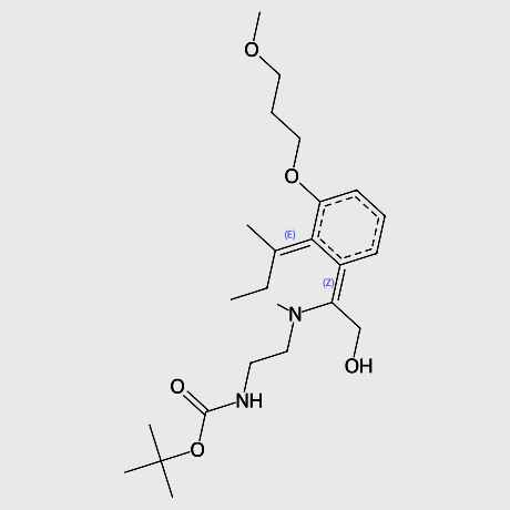 CC/C(C)=c1/c(OCCCOC)ccc/c1=C(\CO)N(C)CCNC(=O)OC(C)(C)C